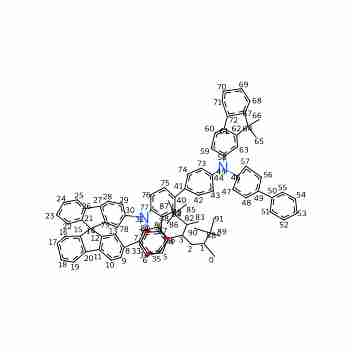 CC(CC(c1ccc(-c2ccc3c(c2)C2(c4ccccc4-3)c3ccccc3-c3ccc(-n4c5ccccc5c5cc(-c6ccc(N(c7ccc(-c8ccccc8)cc7)c7ccc8c(c7)C(C)(C)c7ccccc7-8)cc6)ccc54)cc32)cc1)C(C)C(C)(C)C)C(C)(C)C